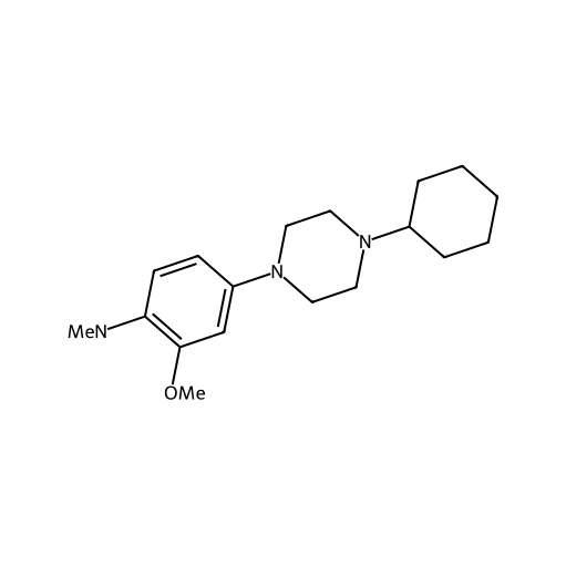 CNc1ccc(N2CCN(C3CCCCC3)CC2)cc1OC